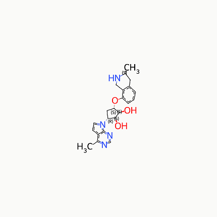 Cc1ncnc2c1ccn2[C@@H]1C[C@H](Oc2cccc3c2CN[C@@H](C)C3)[C@@H](O)[C@H]1O